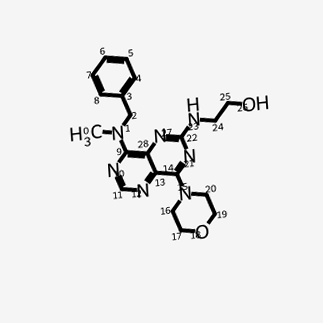 CN(Cc1ccccc1)c1ncnc2c(N3CCOCC3)nc(NCCO)nc12